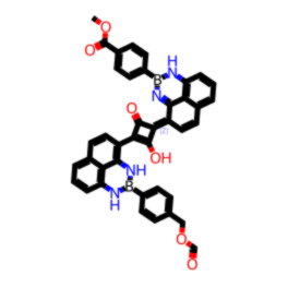 COC(=O)c1ccc(B2N=c3/c(=C4\C(=O)C(c5ccc6cccc7c6c5NB(c5ccc(COC=O)cc5)N7)=C4O)ccc4cccc(c34)N2)cc1